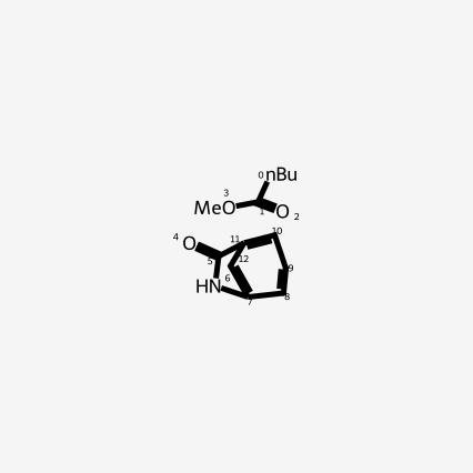 CCCCC(=O)OC.O=C1Nc2cccc1c2